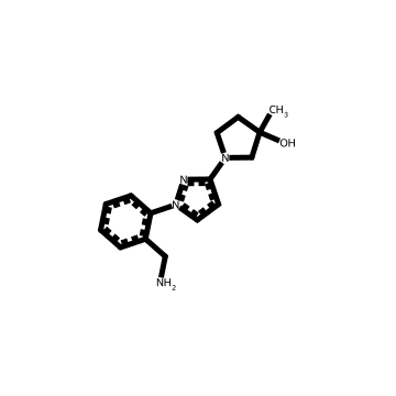 CC1(O)CCN(c2ccn(-c3ccccc3CN)n2)C1